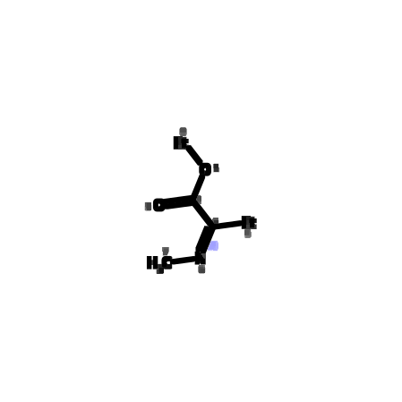 CCOC(=O)/C(CC)=N\C